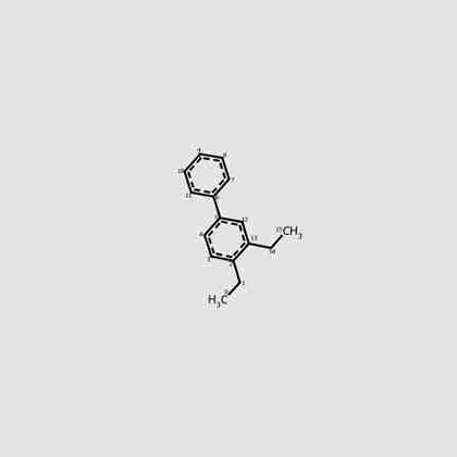 CCc1ccc(-c2cc[c]cc2)cc1CC